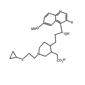 COc1ccc2ncc(F)c([C@H](O)CCC3CCN(CCSC4CC4)CC3CC(=O)O)c2c1